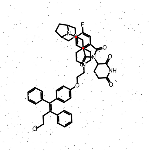 O=C1CCC(N2C(=O)c3cc(F)c(N4C5CCC4CN(CC4CCN(CCOc6ccc(C(=C(CCCl)c7ccccc7)c7ccccc7)cc6)CC4)C5)cc3C2=O)C(=O)N1